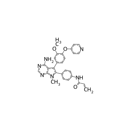 C=CC(=O)Nc1ccc(-c2c(-c3ccc(Oc4ccncc4)c(OC)c3)c3c(N)ncnc3n2C)cc1